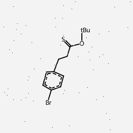 CC(C)(C)OC(=S)CCc1ccc(Br)cc1